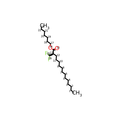 CCCCCCCCCCCCCC(C(=O)OCCCCCCC)=C(F)F